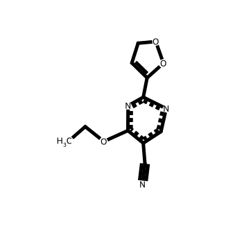 CCOc1nc(C2=CCOO2)ncc1C#N